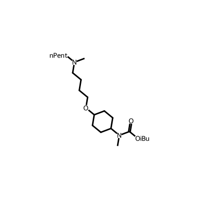 CCCCCN(C)CCCCOC1CCC(N(C)C(=O)OCC(C)C)CC1